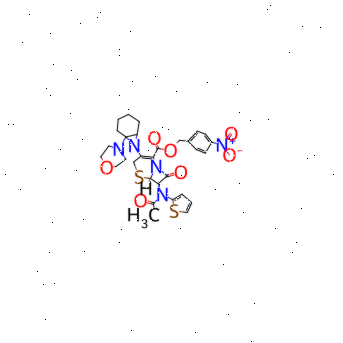 CC(=O)N(c1cccs1)[C@@H]1C(=O)N2C(C(=O)OCc3ccc([N+](=O)[O-])cc3)=C(N3C4CCCCC43N3CCOCC3)CS[C@H]12